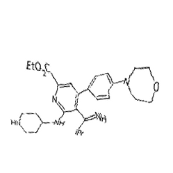 CCOC(=O)c1cc(-c2ccc(N3CCOCC3)cc2)c(C(=N)C(C)C)c(NC2CCNCC2)n1